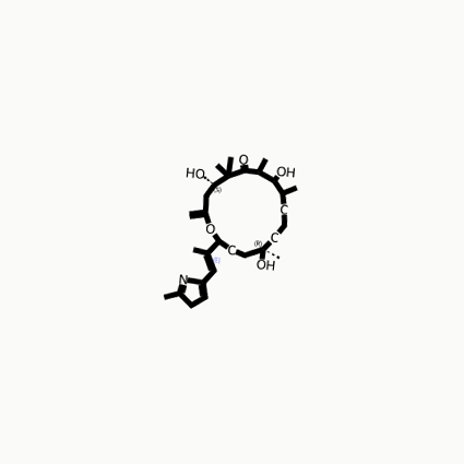 C=C1C[C@H](O)C(C)(C)C(=O)C(C)C(O)C(C)CCC[C@@](C)(O)CCC(/C(C)=C/C2=CCC(C)=N2)O1